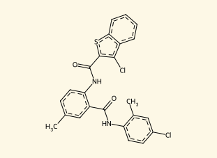 Cc1ccc(NC(=O)c2sc3ccccc3c2Cl)c(C(=O)Nc2ccc(Cl)cc2C)c1